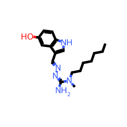 CCCCCCCN(C)C(N)=NN=Cc1c[nH]c2ccc(O)cc12